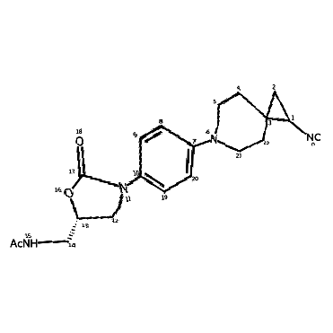 [C-]#[N+]C1CC12CCN(c1ccc(N3C[C@H](CNC(C)=O)OC3=O)cc1)CC2